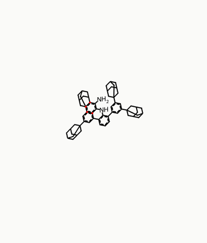 Nc1ccccc1Nc1c(-c2cc(C34CC5CC(CC(C5)C3)C4)cc(C34CC5CC(CC(C5)C3)C4)c2)cccc1-c1cc(C23CC4CC(CC(C4)C2)C3)cc(C23CC4CC(CC(C4)C2)C3)c1